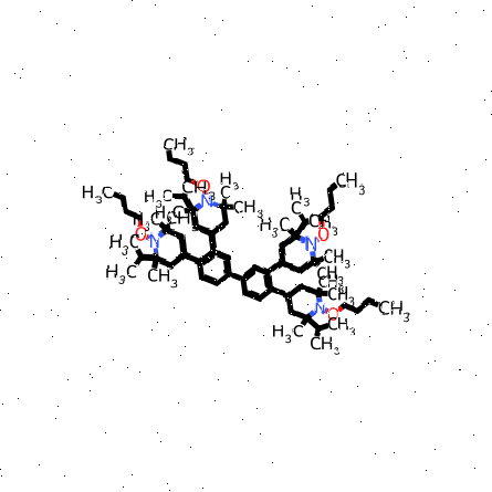 CCCCON1C(C)(C)CC(c2ccc(-c3ccc(C4CC(C)(C)N(OCCCC)C(C)(C(C)C)C4)c(C4CC(C)(C)N(OCCCC)C(C)(C(C)C)C4)c3)cc2C2CC(C)(C)N(OCCCC)C(C)(C(C)C)C2)CC1(C)C(C)C